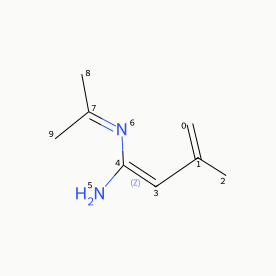 C=C(C)/C=C(/N)N=C(C)C